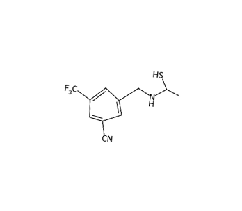 CC(S)NCc1cc(C#N)cc(C(F)(F)F)c1